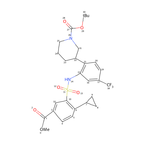 COC(=O)c1ccc(C2CC2)c(S(=O)(=O)Nc2cc(C(F)(F)F)ccc2C2CCCN(C(=O)OC(C)(C)C)C2)c1